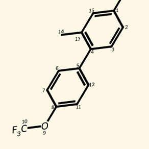 Cc1ccc(-c2ccc(OC(F)(F)F)cc2)c(C)c1